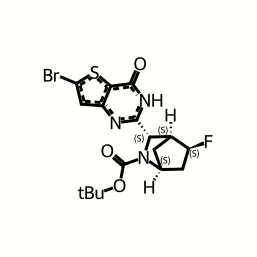 CC(C)(C)OC(=O)N1[C@H]2C[C@@H]([C@H]1c1nc3cc(Br)sc3c(=O)[nH]1)[C@@H](F)C2